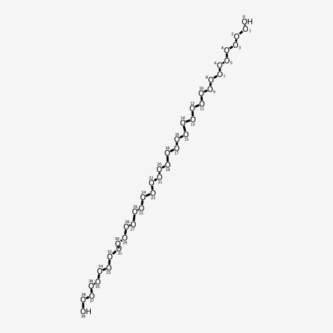 OOOOOOOOOOOOOOOOOOOOOOOOOOOOOOOOOOOOOOOO